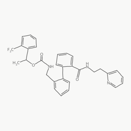 CC(OC(=O)NCc1ccccc1-c1ccccc1C(=O)NCCc1ccccn1)c1ccccc1C(F)(F)F